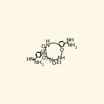 CCC1NCCOc2cc(C(=N)N)ccc2CCCNC(=O)[C@@H](Cc2ccc(C(=N)N)cc2)NC(=O)[C@@H](C)N(C)C1=O